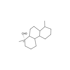 CC1CCCC2C1CCC1C2CCC[C@]1(C)C=O